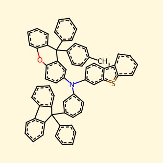 Cc1ccc(C2(c3ccccc3)c3ccccc3Oc3ccc(N(c4cccc(C5(c6ccccc6)c6ccccc6-c6ccccc65)c4)c4ccc5c(c4)sc4ccccc45)cc32)cc1